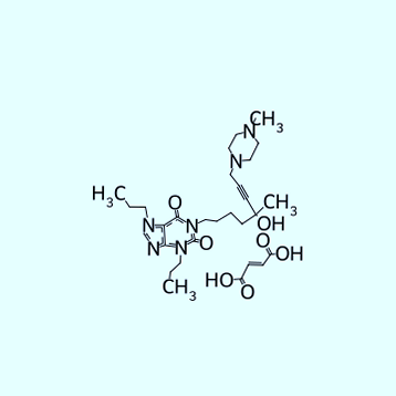 CCCn1cnc2c1c(=O)n(CCCCC(C)(O)C#CCN1CCN(C)CC1)c(=O)n2CCC.O=C(O)/C=C/C(=O)O